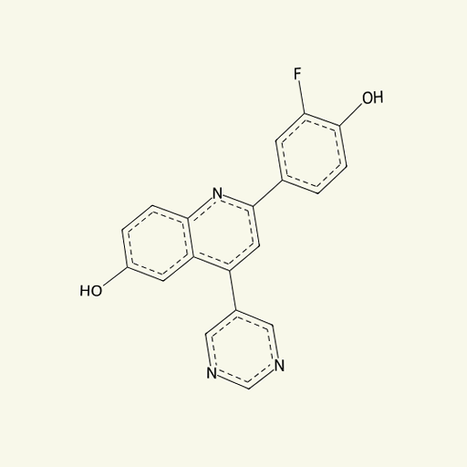 Oc1ccc2nc(-c3ccc(O)c(F)c3)cc(-c3cncnc3)c2c1